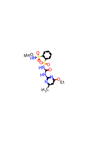 CCOc1cc(C)nc(NC(=O)NS(=O)(=O)c2ccccc2S(=O)(=O)NOC)n1